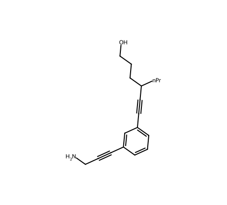 CCCC(C#Cc1cccc(C#CCN)c1)CCCO